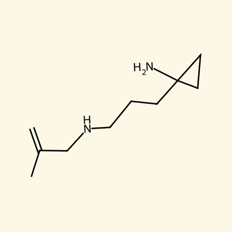 C=C(C)CNCCCC1(N)CC1